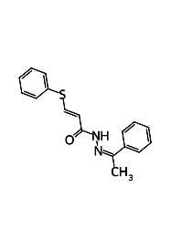 CC(=NNC(=O)C=CSc1ccccc1)c1ccccc1